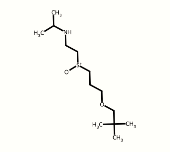 CC(C)NCC[S+]([O-])CCCOCC(C)(C)C